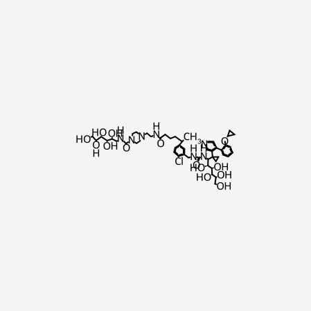 CC(CCCC(=O)NCCN1CCN(C(=O)NC[C@H](O)[C@@H](O)[C@H](O)[C@H](O)CO)CC1)c1ccc(Cl)c(CNC(=O)NC([C@H](O)[C@@H](O)[C@H](O)[C@H](O)CO)C2(c3cnccc3-c3ccccc3OC3CC3)CC2)c1